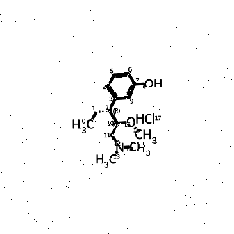 CC[C@H](c1cccc(O)c1)[C@H](CN(C)C)OC.Cl